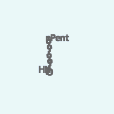 C=CC(=O)NCCCc1ccc(C2CCC(CCC3CCC(C4CCC(CCCCC)CC4)CC3)CC2)cc1